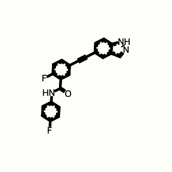 O=C(Nc1ccc(F)cc1)c1cc(C#Cc2ccc3[nH]ncc3c2)ccc1F